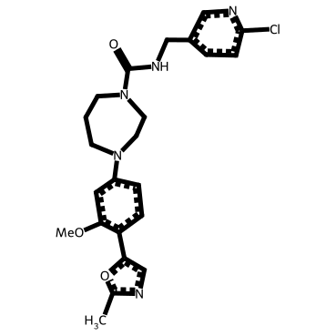 COc1cc(N2CCCN(C(=O)NCc3ccc(Cl)nc3)CC2)ccc1-c1cnc(C)o1